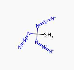 [N-]=[N+]=NC([SiH3])(N=[N+]=[N-])N=[N+]=[N-]